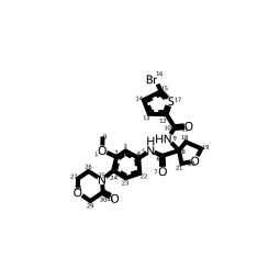 COc1cc(NC(=O)C2(NC(=O)c3ccc(Br)s3)CCOC2)ccc1N1CCOCC1=O